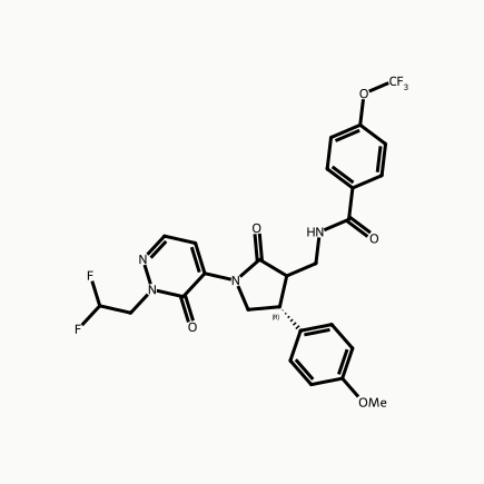 COc1ccc([C@@H]2CN(c3ccnn(CC(F)F)c3=O)C(=O)C2CNC(=O)c2ccc(OC(F)(F)F)cc2)cc1